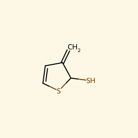 C=C1C=CSC1S